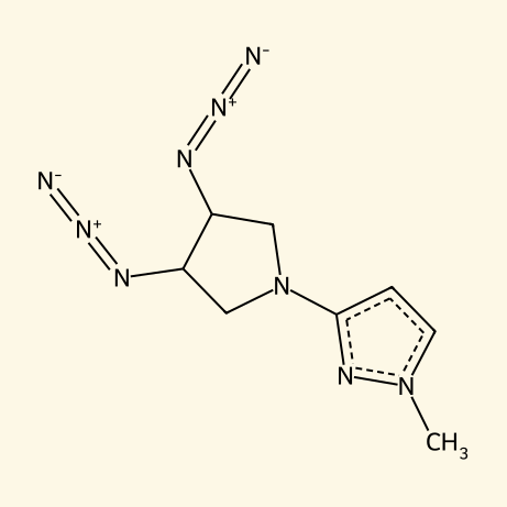 Cn1ccc(N2CC(N=[N+]=[N-])C(N=[N+]=[N-])C2)n1